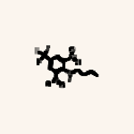 CCCCN(C)c1c([N+](=O)[O-])cc(C(F)(F)F)cc1[N+](=O)[O-]